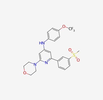 CS(=O)(=O)c1cccc(-c2cc(Nc3ccc(OC(F)(F)F)cc3)cc(N3CCOCC3)n2)c1